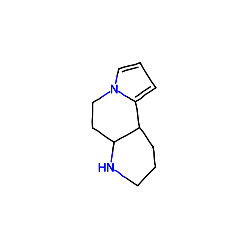 c1cc2n(c1)CCC1NCCCC21